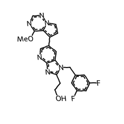 COc1ncnn2ccc(-c3cnc4nc(CCO)n(Cc5cc(F)cc(F)c5)c4c3)c12